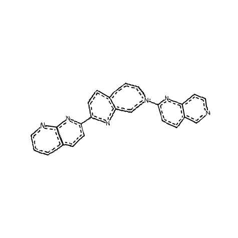 c1cnc2nc(-c3ccc4cc[n+](-c5ccc6cnccc6n5)cc4n3)ccc2c1